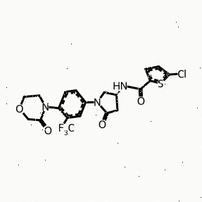 O=C(N[C@@H]1CC(=O)N(c2ccc(N3CCOCC3=O)c(C(F)(F)F)c2)C1)c1ccc(Cl)s1